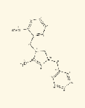 COc1ccccc1CN1CC(Cc2ccccc2)N=C1C